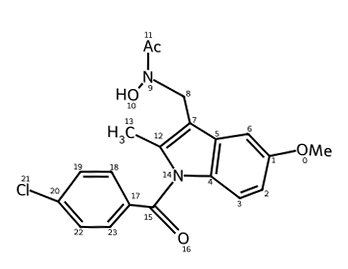 COc1ccc2c(c1)c(CN(O)C(C)=O)c(C)n2C(=O)c1ccc(Cl)cc1